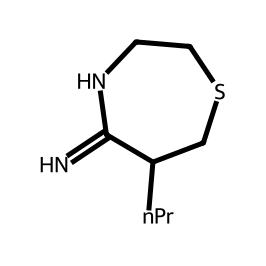 CCCC1CSCCNC1=N